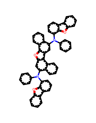 c1ccc(N(c2cc3c(oc4cc(N(c5ccccc5)c5cccc6c5oc5ccccc56)c5ccccc5c43)c3ccccc23)c2cccc3c2oc2ccccc23)cc1